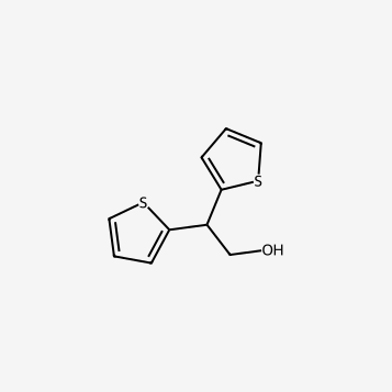 OCC(c1cccs1)c1cccs1